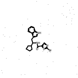 O=C(NC(Cc1c[nH]c2ccccc12)C1CCCC1)c1cnc(Br)s1